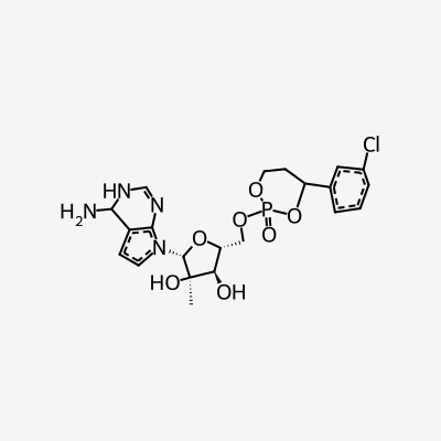 C[C@@]1(O)[C@H](O)[C@@H](COP2(=O)OCCC(c3cccc(Cl)c3)O2)O[C@H]1n1ccc2c1N=CNC2N